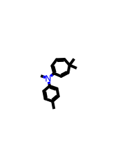 Cc1ccc(N(C)C2=CC=CC(C)(C)C=C2)cc1